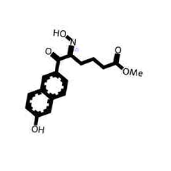 COC(=O)CCC/C(=N/O)C(=O)c1ccc2cc(O)ccc2c1